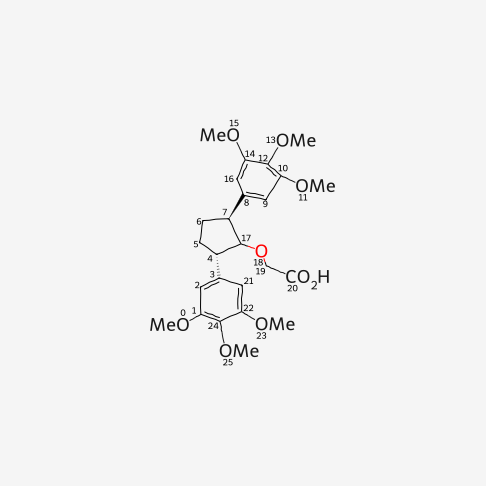 COc1cc([C@@H]2CC[C@@H](c3cc(OC)c(OC)c(OC)c3)C2OCC(=O)O)cc(OC)c1OC